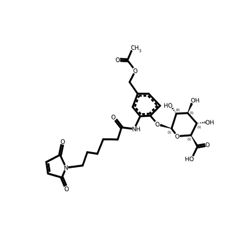 CC(=O)OCc1ccc(O[C@@H]2O[C@H](C(=O)O)[C@@H](O)[C@H](O)[C@H]2O)c(NC(=O)CCCCCN2C(=O)C=CC2=O)c1